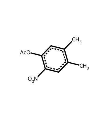 CC(=O)Oc1cc(C)c(C)cc1[N+](=O)[O-]